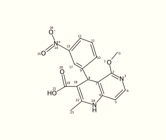 COc1nccc2c1C(c1cccc([N+](=O)[O-])c1)C(C(=O)O)=C(C)N2